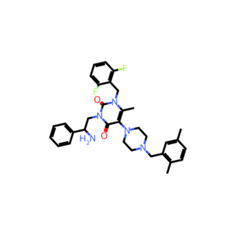 Cc1ccc(C)c(CN2CCN(c3c(C)n(Cc4c(F)cccc4F)c(=O)n(CC(N)c4ccccc4)c3=O)CC2)c1